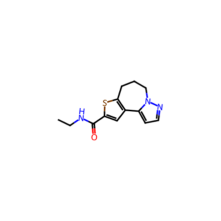 CCNC(=O)c1cc2c(s1)CCCn1nccc1-2